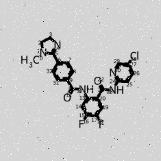 CN1CCN=C1c1ccc(C(=O)Nc2cc(F)c(F)cc2C(=O)Nc2ccc(Cl)cn2)cc1